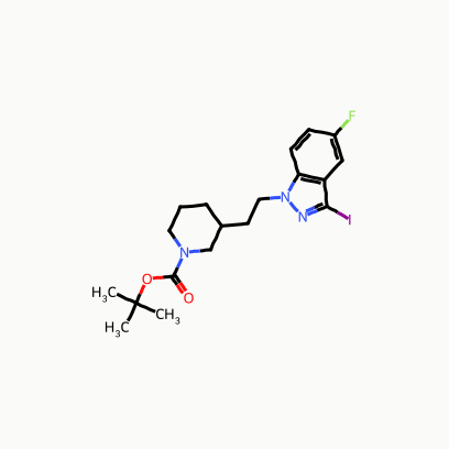 CC(C)(C)OC(=O)N1CCCC(CCn2nc(I)c3cc(F)ccc32)C1